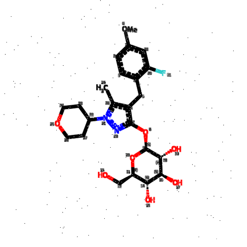 COc1ccc(Cc2c(O[C@@H]3O[C@H](CO)[C@@H](O)[C@H](O)[C@H]3O)nn(C3CCOCC3)c2C)c(F)c1